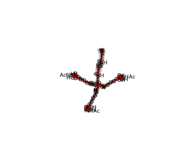 CC(=O)NC1[C@H]2OC[C@](COCCOCCOCCOCCn3cc(COCC(COCc4cn(CCOCCOCCOCCOC[C@@]56CO[C@H](O5)[C@H](NC(C)=O)[C@@H](O)[C@H]6O)nn4)(COCc4cn(CCOCCOCCOCCOC[C@@]56CO[C@H](O5)[C@H](NC(C)=O)[C@@H](O)[C@H]6O)nn4)NC(=O)CCCCCNC(=O)CCCCCOC4OCC(NC(=O)CCCCCSSc5ccccn5)CO4)nn3)(O2)[C@H](O)[C@@H]1O